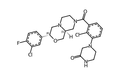 O=C1CN(c2cccc(C(=O)N3CCN4C[C@@H](c5ccc(F)c(Cl)c5)OC[C@@H]4C3)c2Cl)CCN1